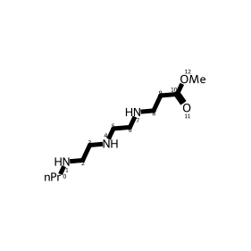 CCCNCCNCCNCCC(=O)OC